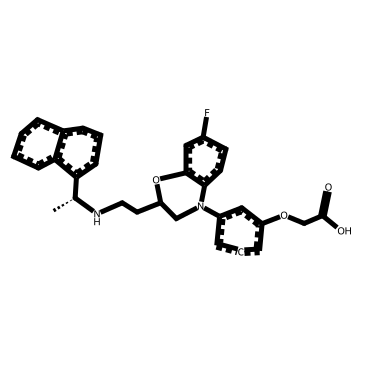 C[C@@H](NCCC1CN(c2cccc(OCC(=O)O)c2)c2ccc(F)cc2O1)c1cccc2ccccc12